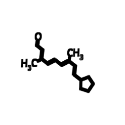 CC(C=CC=C(C)C=CC1CCCC1)=CC=O